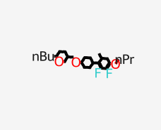 CCCCC1CCC(COC2CCC(C3=C(F)C(F)=C(OCCC)CC3C)CC2)CO1